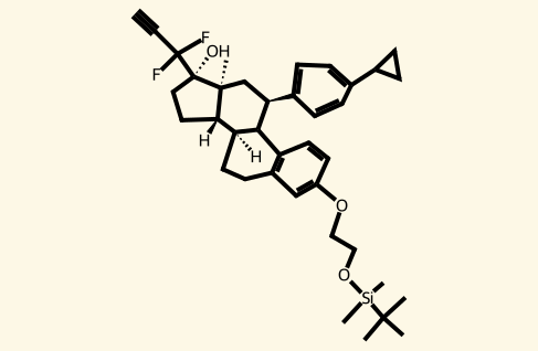 C#CC(F)(F)[C@]1(O)CC[C@H]2[C@@H]3CCc4cc(OCCO[Si](C)(C)C(C)(C)C)ccc4C3[C@H](c3ccc(C4CC4)cc3)C[C@@]21C